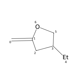 C=C1CC(CC)CO1